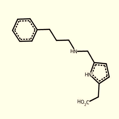 O=C(O)Cc1ccc(CNCCCc2ccccc2)[nH]1